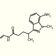 CC(CCC(=O)NC=O)c1nn(C)c2c(N)cccc12